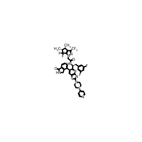 C[C@@H]1c2c(C(F)(F)F)nn(CC(=O)N[C@@H](Cc3cc(F)cc(F)c3)c3nc4nc(N5CCN(c6ccncc6)CC5)sc4cc3-c3cccc4c3CNC4=O)c2C(F)(F)[C@@H]1C